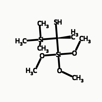 CO[Si](OC)(OC)[C@@](C)(S)[Si](C)(C)C